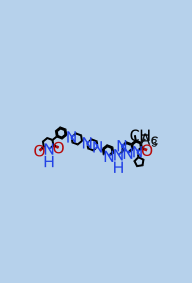 CC(=O)c1c(C)c2cnc(Nc3ccc(N4CCN(C5CCN(c6cccc(C7CCC(=O)NC7=O)c6)CC5)CC4)cn3)nc2n(C2CCCC2)c1=O